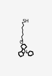 SCCCCCCCCOc1ccc2c(c1)c1ccccc1n2-c1ccccc1